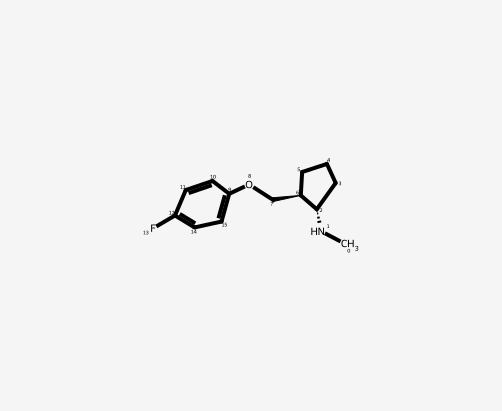 CN[C@H]1CCC[C@@H]1COc1ccc(F)cc1